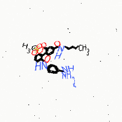 CCCCCCNC(=O)c1ccc(-c2ccccc2C(=O)Nc2ccc(C(=N)N)cc2)c(C(=O)OS(C)(=O)=O)c1